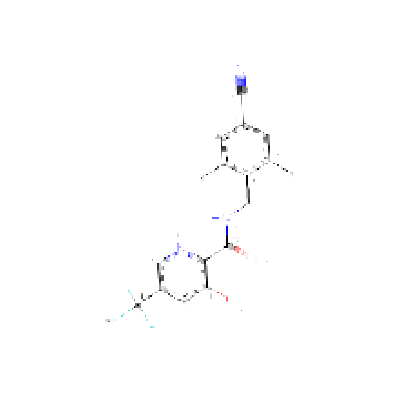 Cc1cc(C#N)cc(C)c1CNC(=O)c1ncc(C(F)(F)F)cc1O